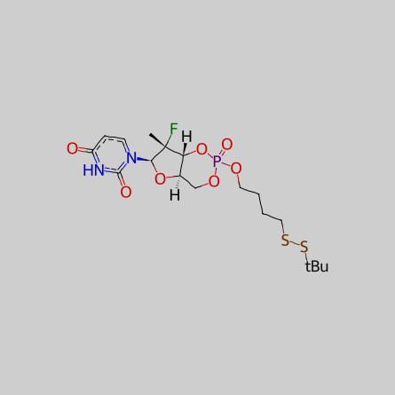 CC(C)(C)SSCCCCOP1(=O)OC[C@H]2O[C@@H](n3ccc(=O)[nH]c3=O)[C@](C)(F)[C@@H]2O1